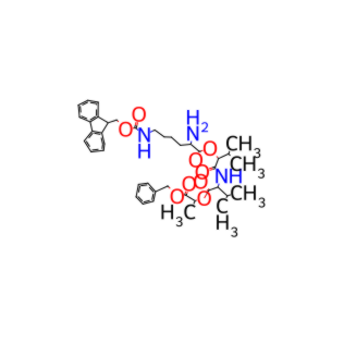 CC(OC(=O)C(NC(=O)C(OC(=O)C(N)CCCCNC(=O)OCC1c2ccccc2-c2ccccc21)C(C)C)C(C)C)C(=O)OCc1ccccc1